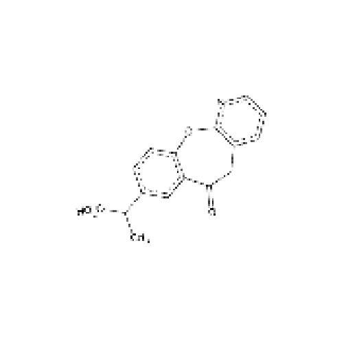 CC(C(=O)O)c1ccc2c(c1)C(=O)Cc1cccnc1O2